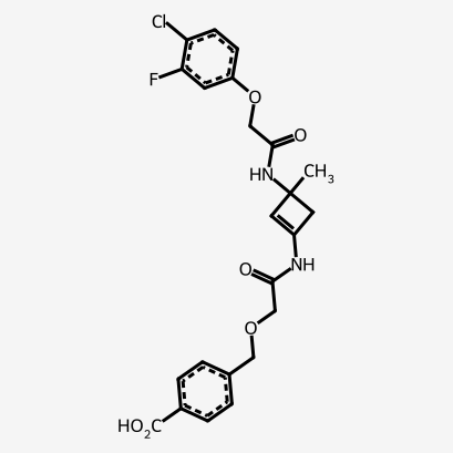 CC1(NC(=O)COc2ccc(Cl)c(F)c2)C=C(NC(=O)COCc2ccc(C(=O)O)cc2)C1